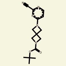 CC(C)(C)OC(=O)N1CC2(C1)CN(c1ccnc(C#N)n1)C2